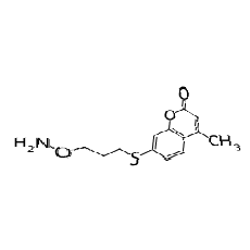 Cc1cc(=O)oc2cc(SCCCON)ccc12